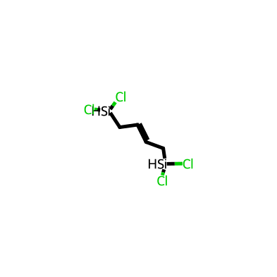 Cl[SiH](Cl)CC=CC[SiH](Cl)Cl